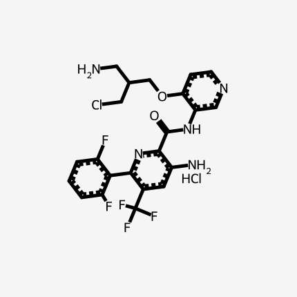 Cl.NCC(CCl)COc1ccncc1NC(=O)c1nc(-c2c(F)cccc2F)c(C(F)(F)F)cc1N